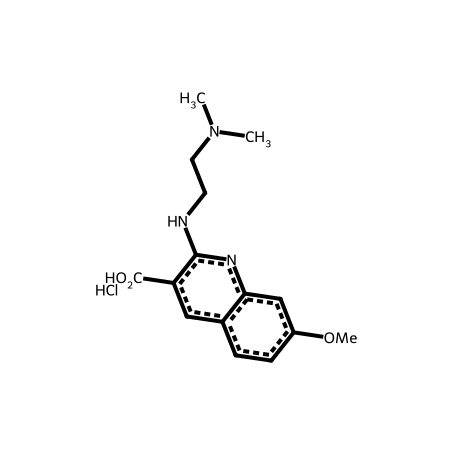 COc1ccc2cc(C(=O)O)c(NCCN(C)C)nc2c1.Cl